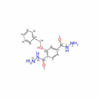 NNC(=O)c1ccc(C(=O)NN)c(OCc2ccccc2)c1